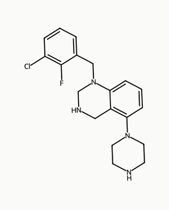 Fc1c(Cl)cccc1CN1CNCc2c(N3CCNCC3)cccc21